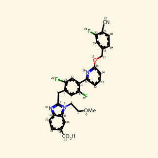 COCCn1c(Cc2cc(F)c(-c3cccc(OCc4ccc(C#N)c(F)c4)n3)cc2F)nc2ccc(C(=O)O)cc21